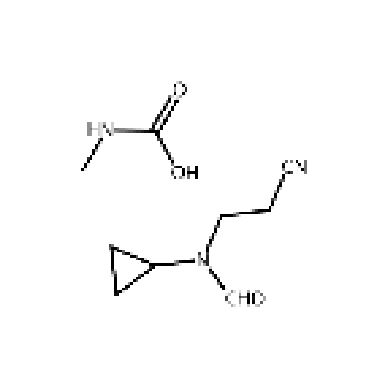 CNC(=O)O.N#CCCN(C=O)C1CC1